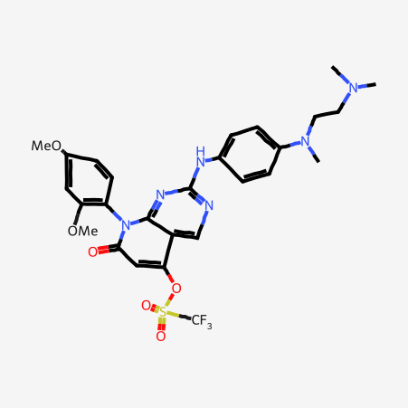 COc1ccc(-n2c(=O)cc(OS(=O)(=O)C(F)(F)F)c3cnc(Nc4ccc(N(C)CCN(C)C)cc4)nc32)c(OC)c1